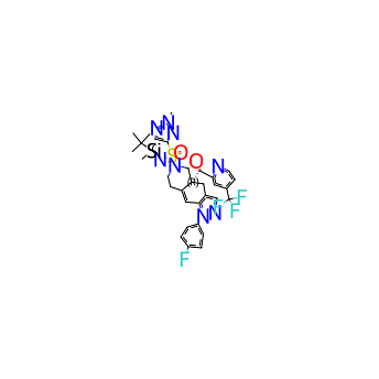 Cn1ncc(S(=O)(=N[Si](C)(C)C(C)(C)C)N2CCC3=Cc4c(cnn4-c4ccc(F)cc4)C[C@]3(C(=O)c3cc(C(F)(F)F)ccn3)C2)n1